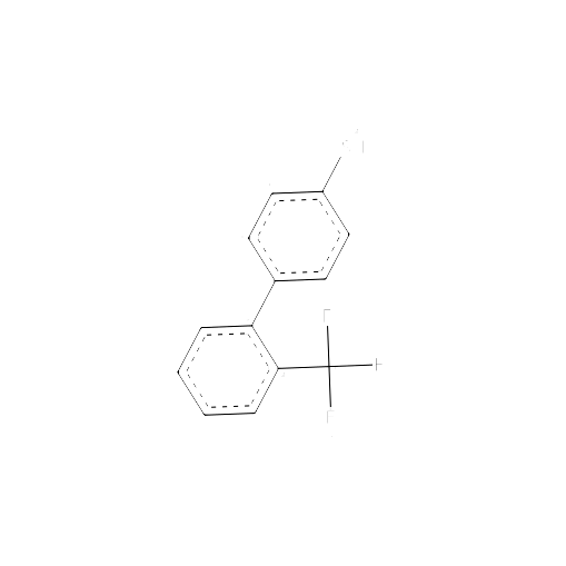 FC(F)(F)c1ccccc1-c1ccc(S)cc1